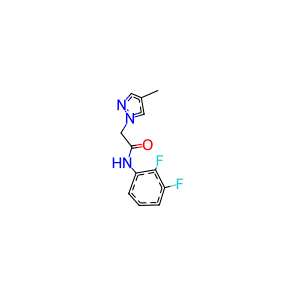 Cc1cnn(CC(=O)Nc2cccc(F)c2F)c1